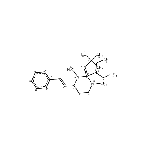 CCN(CC)P1(=NC(C)(C)C)N(C)CCC(C=Cc2ccccc2)N1C